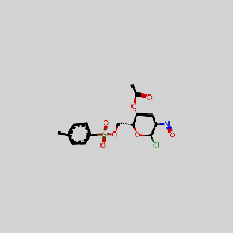 CC(=O)O[C@@H]1C[C@@H](N=O)[C@@H](Cl)O[C@@H]1COS(=O)(=O)c1ccc(C)cc1